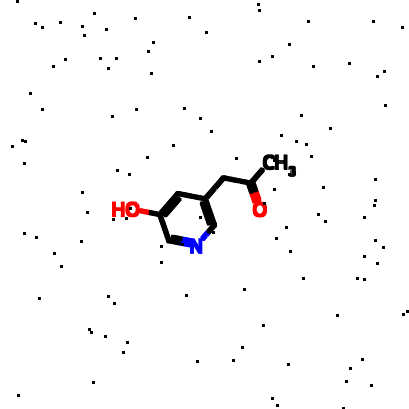 CC(=O)Cc1cncc(O)c1